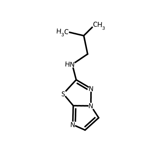 CC(C)CNc1nn2ccnc2s1